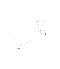 COC[C@H]1CN[C@H](C)CN1CC(=O)N1CC(C)(C)c2nc(CN(C)CCOCCOCCOCCOCCOCCN[C@H](Cc3cccc(F)c3)C(=O)Nc3ccc(-c4ccncc4)cc3)c(Cc3ccc(F)cc3)cc21